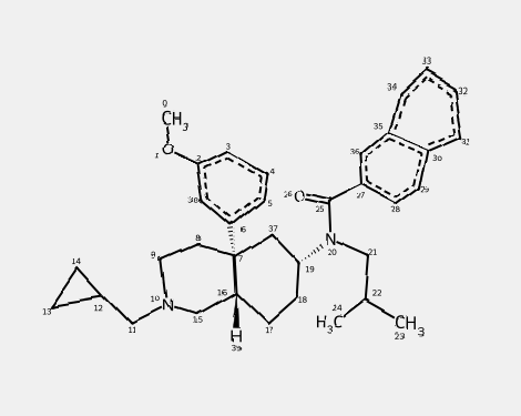 COc1cccc([C@@]23CCN(CC4CC4)C[C@H]2CC[C@@H](N(CC(C)C)C(=O)c2ccc4ccccc4c2)C3)c1